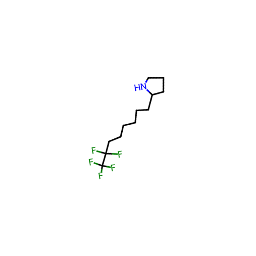 FC(F)(F)C(F)(F)CCCCCCC1CCCN1